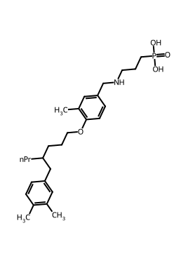 CCCC(CCCOc1ccc(CNCCCP(=O)(O)O)cc1C)Cc1ccc(C)c(C)c1